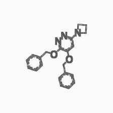 c1ccc(COc2cc(N3CCC3)nnc2OCc2ccccc2)cc1